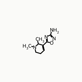 CC1C(c2nc(N)no2)=CCCN1C